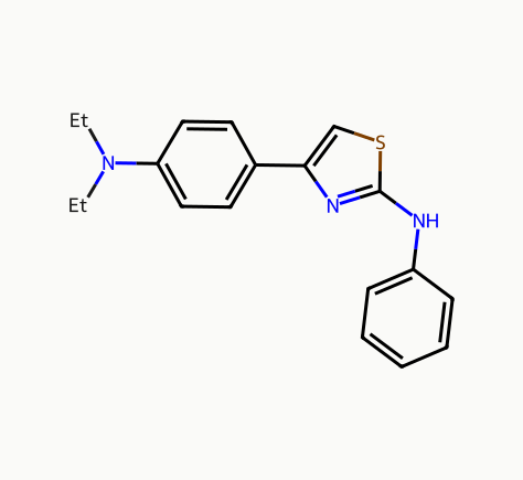 CCN(CC)c1ccc(-c2csc(Nc3ccccc3)n2)cc1